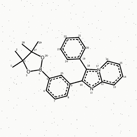 CC1(C)OB(c2cccc(-c3nc4ccccn4c3-c3ccccc3)c2)OC1(C)C